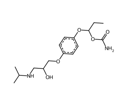 CCC(OC(N)=O)Oc1ccc(OCC(O)CNC(C)C)cc1